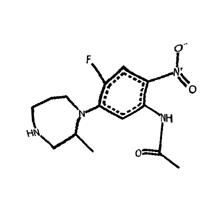 CC(=O)Nc1cc(N2CCNCC2C)c(F)cc1[N+](=O)[O-]